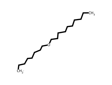 [CH2]CCCCCCCOCCCCCCCCCC